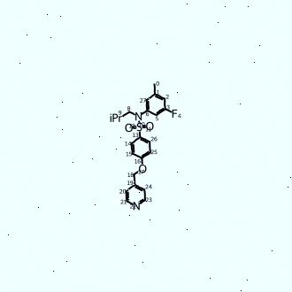 Cc1cc(F)cc(N(CC(C)C)S(=O)(=O)c2ccc(OCc3ccncc3)cc2)c1